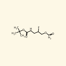 CC(C)(C)OC(=O)NCC(F)CO[PH2]=O